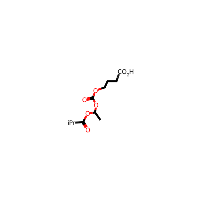 CC(OC(=O)OCCCC(=O)O)OC(=O)C(C)C